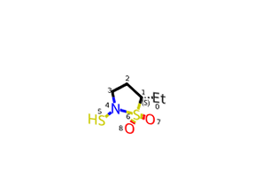 CC[C@H]1CCN(S)S1(=O)=O